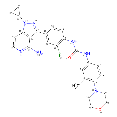 Cc1cc(NC(=O)Nc2ccc(-c3nn(C4CC4)c4ccnc(N)c34)cc2F)ccc1N1CCOCC1